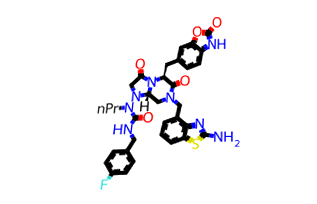 CCCN(C(=O)NCc1ccc(F)cc1)N1CC(=O)N2[C@@H](Cc3ccc4[nH]c(=O)oc4c3)C(=O)N(Cc3cccc4sc(N)nc34)C[C@@H]21